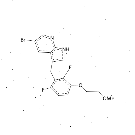 COCCOc1ccc(F)c(Cc2c[nH]c3ncc(Br)cc23)c1F